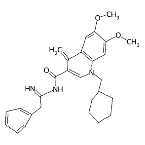 C=C1C(C(=O)NC(=N)Cc2ccccc2)=CN(CC2CCCCC2)c2cc(OC)c(OC)cc21